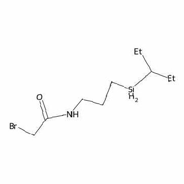 CCC(CC)[SiH2]CCCNC(=O)CBr